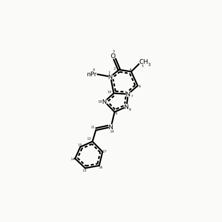 CCCn1c(=O)c(C)cn2nc(/N=C/c3ccccc3)nc12